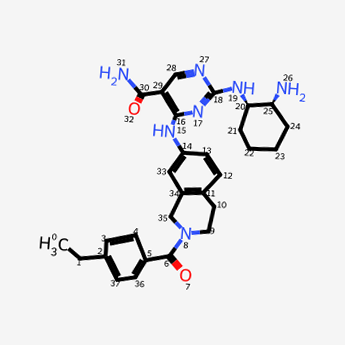 CCc1ccc(C(=O)N2CCc3ccc(Nc4nc(N[C@@H]5CCCC[C@@H]5N)ncc4C(N)=O)cc3C2)cc1